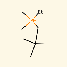 CC[PH](C)(C)CC(C)(C)C